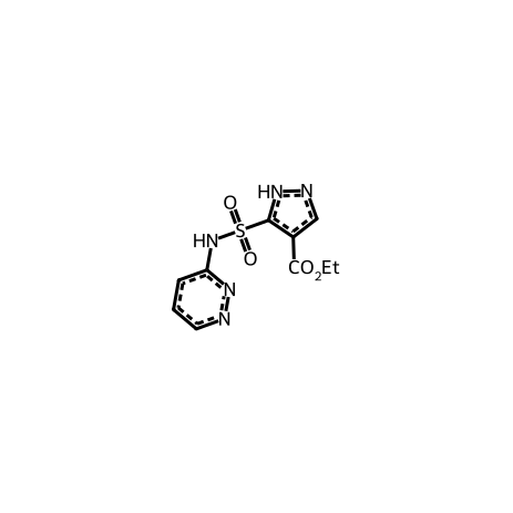 CCOC(=O)c1cn[nH]c1S(=O)(=O)Nc1cccnn1